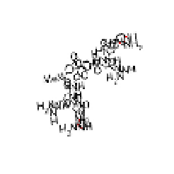 CNC(=O)c1ccc2c(c1)C1(OC2=O)c2ccc(NC(=O)C(CCCNC(=N)N)NC(=O)C(CCCNC(=N)N)NC(=O)OCc3ccccc3)cc2Oc2cc(NC(=O)C(CCCNC(=N)N)NC(=O)C(CCCNC(=N)N)NC(=O)OCc3ccccc3)ccc21